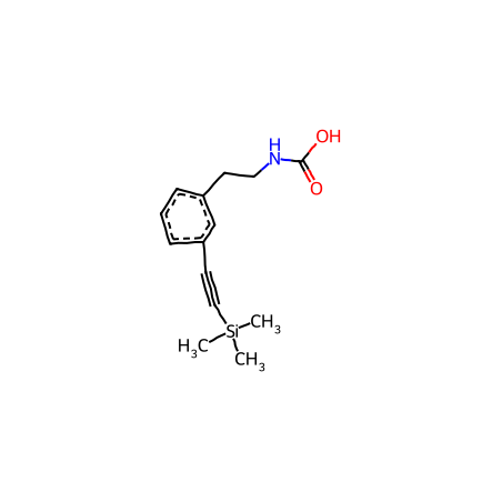 C[Si](C)(C)C#Cc1cccc(CCNC(=O)O)c1